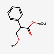 CCCCCCCCOC(=O)C(COCCC)c1ccccc1